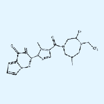 CCC1CN(C(=O)c2cnn(-c3nn4cccc4c(=O)[nH]3)c2C)CC(C)CN1CC(F)(F)F